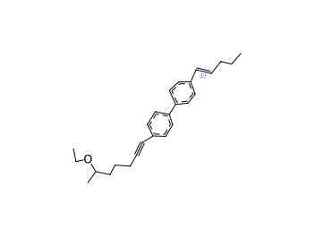 CCC/C=C/c1ccc(-c2ccc(C#CCCCC(C)OCC)cc2)cc1